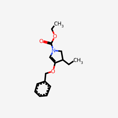 CCOC(=O)N1C=C(OCc2ccccc2)C(CC)C1